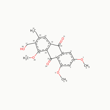 COc1cc(OC)c2c(c1)C(=O)c1cc(C)c(CO)c(OC)c1C2=O